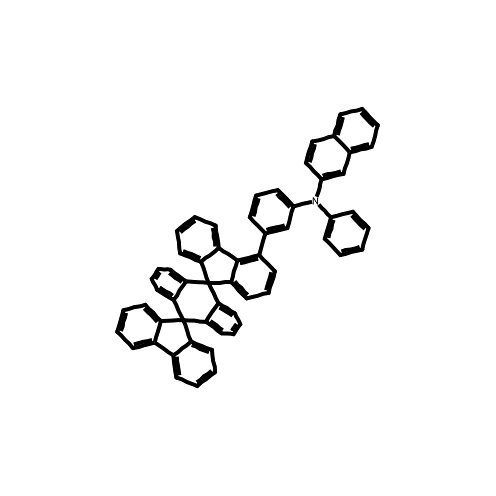 c1ccc(N(c2cccc(-c3cccc4c3-c3ccccc3C43c4ccccc4C4(c5ccccc5-c5ccccc54)c4ccccc43)c2)c2ccc3ccccc3c2)cc1